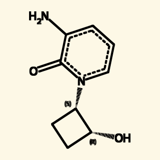 Nc1cccn([C@H]2CC[C@H]2O)c1=O